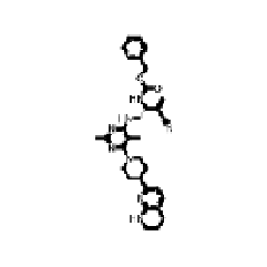 C=C(C#N)[C@H](CNc1nc(C)nc(N2CCC(c3ccc4c(n3)NCCC4)CC2)c1C)NC(=O)OCc1ccccc1